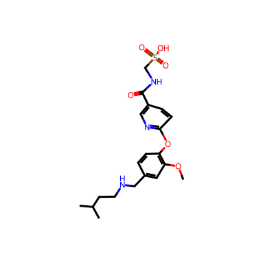 COc1cc(CNCCC(C)C)ccc1Oc1ccc(C(=O)NCS(=O)(=O)O)cn1